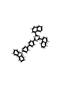 c1ccc2c(-c3nc(-c4ccc(-c5ccc(-n6c7ccccc7c7ccccc76)cc5)cc4)nc(-c4cccc5ccccc45)n3)cccc2c1